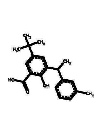 Cc1cccc(C(C)c2cc(C(C)(C)C)cc(C(=O)O)c2O)c1